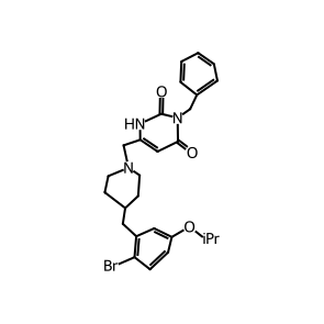 CC(C)Oc1ccc(Br)c(CC2CCN(Cc3cc(=O)n(Cc4ccccc4)c(=O)[nH]3)CC2)c1